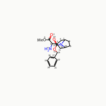 COC(=O)C(N)C1CC2CCC(C1)N2C(=O)OCc1ccccc1